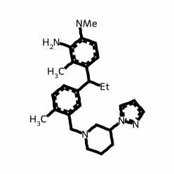 CCC(c1ccc(C)c(CN2CCCC(n3cccn3)C2)c1)c1ccc(NC)c(N)c1C